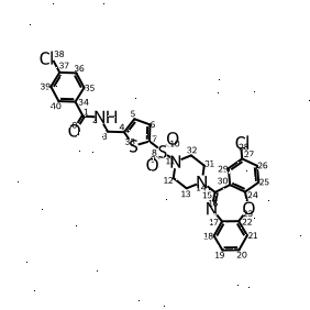 O=C(NCc1ccc(S(=O)(=O)N2CCN(C3=Nc4ccccc4Oc4ccc(Cl)cc43)CC2)s1)c1ccc(Cl)cc1